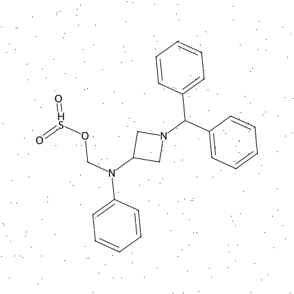 O=[SH](=O)OCN(c1ccccc1)C1CN(C(c2ccccc2)c2ccccc2)C1